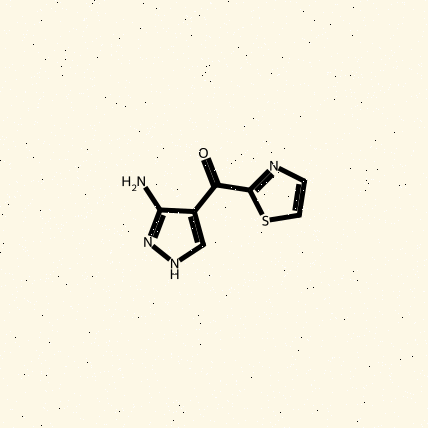 Nc1n[nH]cc1C(=O)c1nccs1